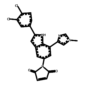 Cn1cnc(-c2cc(N3C(=O)C=CC3=O)cc3cc(-c4ccc(Cl)c(Cl)c4)[nH]c23)c1